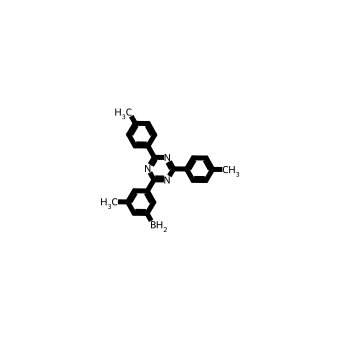 Bc1cc(C)cc(-c2nc(-c3ccc(C)cc3)nc(-c3ccc(C)cc3)n2)c1